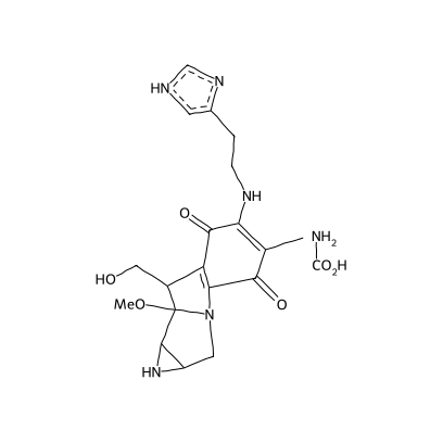 COC12C(CO)C3=C(C(=O)C(C)=C(NCCc4c[nH]cn4)C3=O)N1CC1NC12.NC(=O)O